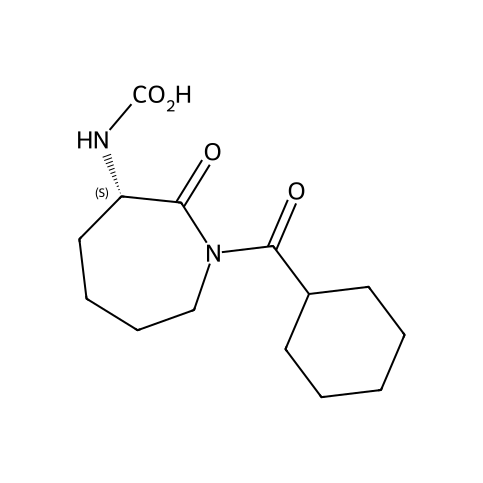 O=C(O)N[C@H]1CCCCN(C(=O)C2CCCCC2)C1=O